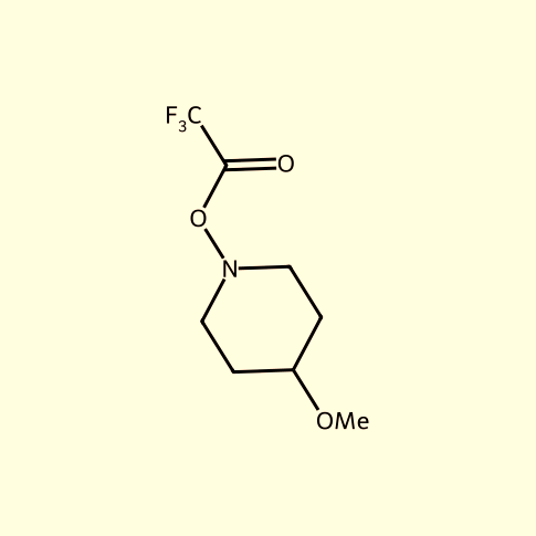 COC1CCN(OC(=O)C(F)(F)F)CC1